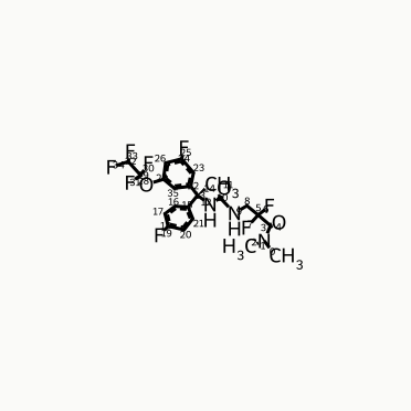 CN(C)C(=O)C(F)(F)CNC(=O)N[C@](C)(c1ccc(F)cc1)c1cc(F)cc(OC(F)(F)C(F)F)c1